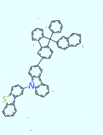 c1ccc(C2(c3ccc4ccccc4c3)c3ccccc3-c3cc(-c4ccc5c(c4)c4ccccc4n5-c4ccc5sc6ccccc6c5c4)ccc32)cc1